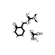 CN(C)C(=S)OCC1CCCCC1=O.NC(O)=S